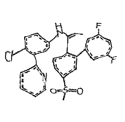 C/C=C(/Nc1ccc(Cl)c(-c2ccccn2)c1)c1ccc(S(C)(=O)=O)cc1-c1cc(F)cc(F)c1